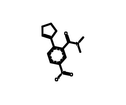 CN(C)C(=O)c1cc([N+](=O)[O-])ccc1C1=CCCC1